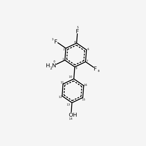 Nc1c(F)c(F)cc(F)c1-c1ccc(O)cc1